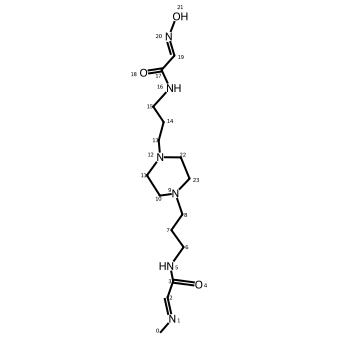 C/N=C/C(=O)NCCCN1CCN(CCCNC(=O)/C=N/O)CC1